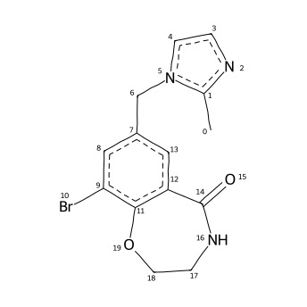 Cc1nccn1Cc1cc(Br)c2c(c1)C(=O)NCCO2